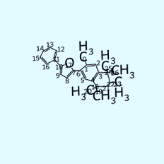 Cc1cc2c(cc1-c1ccc(-c3ccccc3)o1)C(C)(C)CC(C)C2(C)C